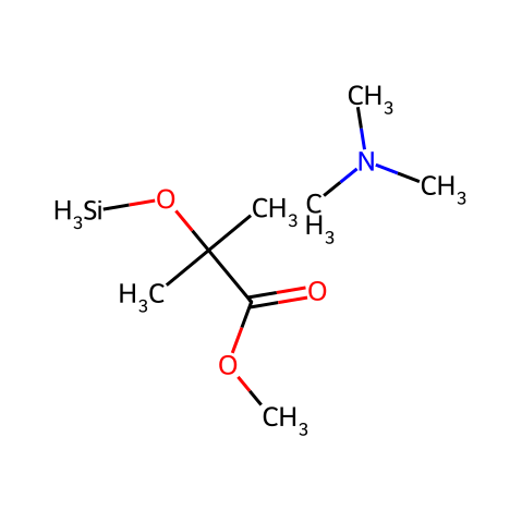 CN(C)C.COC(=O)C(C)(C)O[SiH3]